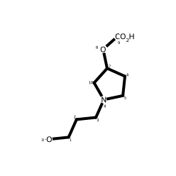 [O]CCCN1CCC(OC(=O)O)C1